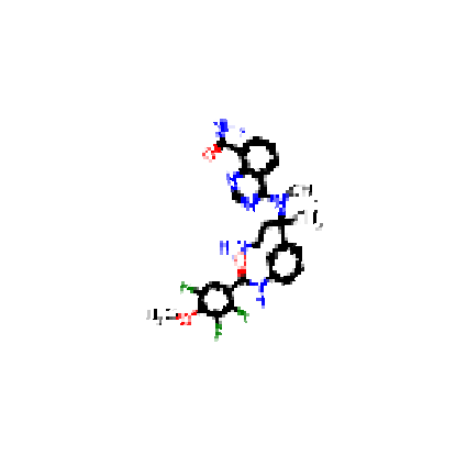 COc1c(F)cc(C(=O)Nc2cccc(C(C)(CCN)N(C)c3ncnc4c(C(N)=O)cccc34)c2)c(F)c1F